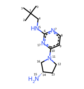 CC(C)(C)CNc1nccc(N2CC[C@H](N)C2)n1